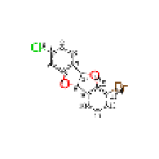 Clc1ccc2c(c1)OC1c3cccc(Br)c3OC21